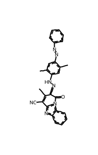 CC1=C(C#N)c2nc3ccccc3n2C(=O)/C1=N/Nc1cc(C)c(N=Nc2ccccc2)cc1C